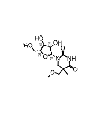 COCC1(C)CN([C@@H]2O[C@H](CO)[C@@H](O)[C@H]2O)C(=O)NC1=O